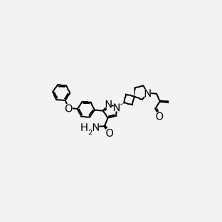 C=C(C=O)CN1CC[C@]2(C1)C[C@@H](n1cc(C(N)=O)c(-c3ccc(Oc4ccccc4)cc3)n1)C2